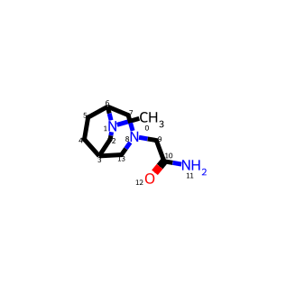 CN1CC2CCC1CN(CC(N)=O)C2